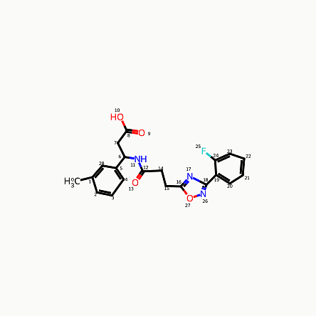 Cc1cccc(C(CC(=O)O)NC(=O)CCc2nc(-c3ccccc3F)no2)c1